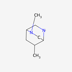 CC1CC2C[N]C1CN2C